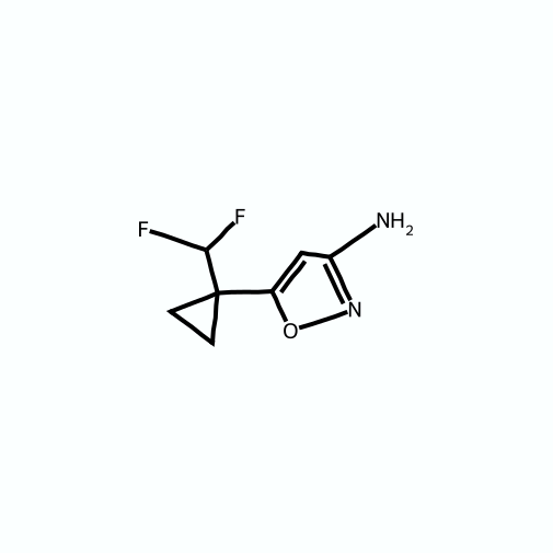 Nc1cc(C2(C(F)F)CC2)on1